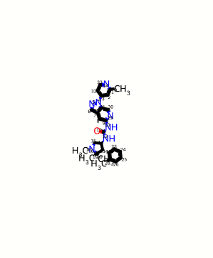 Cc1cc(-n2ncc3cc(NC(=O)N[C@@H]4CN(C)C(C)(C)[C@H]4c4ccccc4C)ncc32)ccn1